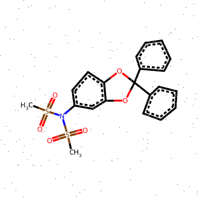 CS(=O)(=O)N(c1ccc2c(c1)OC(c1ccccc1)(c1ccccc1)O2)S(C)(=O)=O